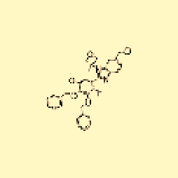 COc1cc(-c2nc3ccc(C=O)cc3n2C2(C)COC2)c(F)c(OCc2ccccc2)c1OCc1ccccc1